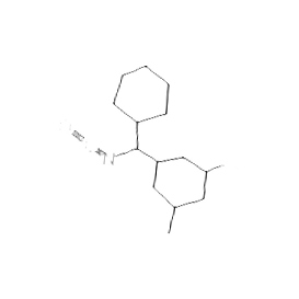 CCC1CC(C)CC(C(N=C=O)C2CCCCC2)C1